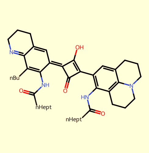 CCCCCCCC(=O)Nc1c(C2=C(O)/C(=c3\cc4c(c(CCCC)c3NC(=O)CCCCCCC)=NCCC4)C2=O)cc2c3c1CCCN3CCC2